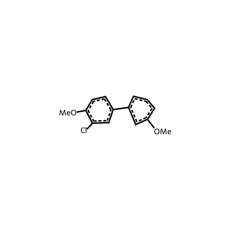 COc1[c]c(-c2ccc(OC)c(Cl)c2)ccc1